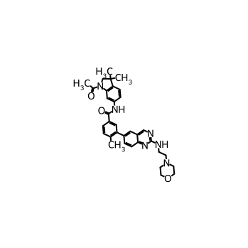 CC(=O)N1CC(C)(C)c2ccc(NC(=O)c3ccc(C)c(-c4ccc5nc(NCCN6CCOCC6)ncc5c4)c3)cc21